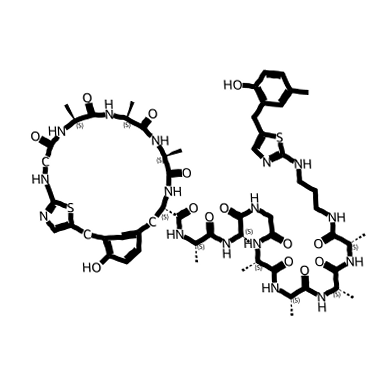 Cc1ccc(O)c(Cc2cnc(NCCCNC(=O)[C@H](C)NC(=O)[C@H](C)NC(=O)[C@H](C)NC(=O)[C@H](C)NC(=O)CNC(=O)[C@H](C)NC(=O)[C@H](C)NC(=O)[C@@H]3Cc4ccc(O)c(c4)Cc4cnc(s4)NCC(=O)N[C@@H](C)C(=O)N[C@@H](C)C(=O)N[C@@H](C)C(=O)N3)s2)c1